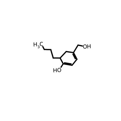 CCCCC1CC(CO)=CC=C1O